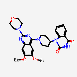 CCOc1cc2nc(N3CCOCC3)nc(N3CCC(n4c(=O)[nH]c(=O)c5ccccc54)CC3)c2cc1OCC